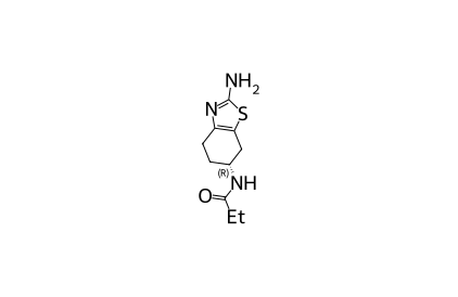 CCC(=O)N[C@@H]1CCc2nc(N)sc2C1